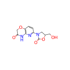 O=C1COc2ccc(N3CC(CO)OC3=O)nc2N1